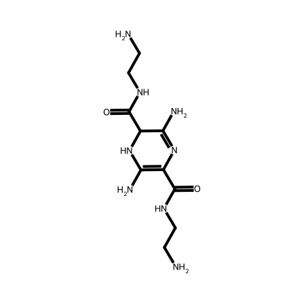 NCCNC(=O)C1=C(N)NC(C(=O)NCCN)C(N)=N1